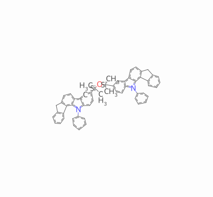 C[Si](C)(O[Si](C)(C)c1ccc2c(c1)c1ccc3c(c1n2-c1ccccc1)-c1ccccc1C3)c1ccc2c(c1)c1ccc3c(c1n2-c1ccccc1)-c1ccccc1C3